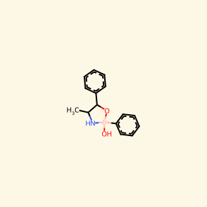 CC1N[B-](O)(c2ccccc2)OC1c1ccccc1